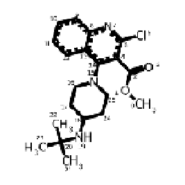 COC(=O)c1c(Cl)nc2ccccc2c1N1CCC(NC(C)(C)C)CC1